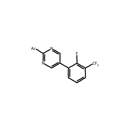 CC(=O)c1ncc(-c2cccc(C(F)(F)F)c2F)cn1